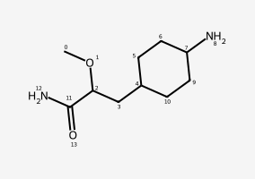 COC(CC1CCC(N)CC1)C(N)=O